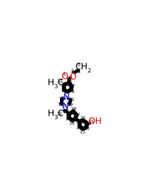 C=CCOC(=O)c1ccc(N2CCN(C(C)c3ccc(-c4cccc(O)c4)cc3)CC2)cc1C